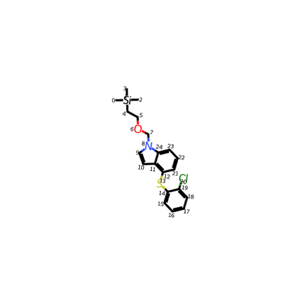 C[Si](C)(C)CCOCn1ccc2c(Sc3ccccc3Cl)cccc21